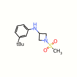 CC(C)(C)c1cccc(NC2CN(S(C)(=O)=O)C2)c1